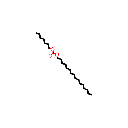 CCCCCCCCCCCCCCCCOC(=O)OCCCCCCC